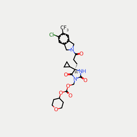 O=C(OCN1C(=O)N[C@](CCC(=O)N2Cc3cc(Cl)c(C(F)(F)F)cc3C2)(C2CC2)C1=O)OC1CCOCC1